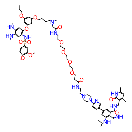 CCCOc1cc(OCCCCN(C)CC(=O)NCCOCCOCCOCCOCCC(=O)NCCN2CCN(c3ccc(-c4cc(NC(C)C)c(C=N)c(C(=O)NCc5c(C)cc(C)[nH]c5=O)c4)cn3)CC2)cc(Oc2cc(NC)c(NC)cc2NS(=O)(=O)c2ccc(OC)c(OC)c2)c1